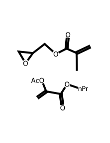 C=C(C)C(=O)OCC1CO1.C=C(OC(C)=O)C(=O)OCCC